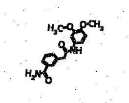 COc1ccc(NC(=O)Cc2cccc(C(N)=O)c2)cc1OC